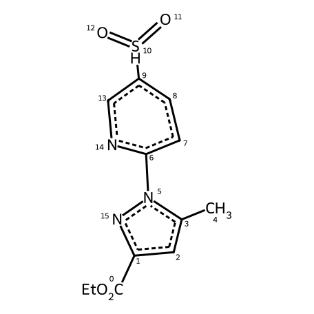 CCOC(=O)c1cc(C)n(-c2ccc([SH](=O)=O)cn2)n1